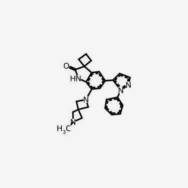 CN1CC2(C1)CN(c1cc(-c3ccnn3-c3ccccc3)cc3c1NC(=O)C31CCC1)C2